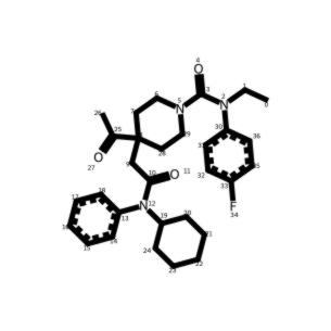 CCN(C(=O)N1CCC(CC(=O)N(c2ccccc2)C2CCCCC2)(C(C)=O)CC1)c1ccc(F)cc1